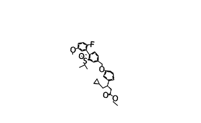 CCOC(=O)C[C@@H](CC1CC1)c1cccc(OCc2ccc(-c3cc(OC)ccc3F)c([S@@+]([O-])C(C)C)c2)c1